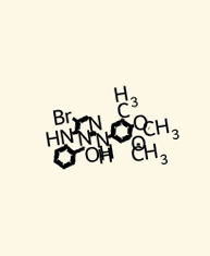 COc1cc(Nc2ncc(Br)c(Nc3ccccc3CO)n2)cc(C)c1OC